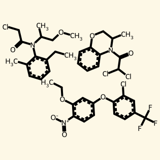 CC1COc2ccccc2N1C(=O)C(Cl)Cl.CCOc1cc(Oc2ccc(C(F)(F)F)cc2Cl)ccc1[N+](=O)[O-].CCc1cccc(C)c1N(C(=O)CCl)C(C)COC